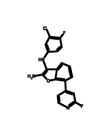 Nc1oc2c(-c3ccnc(F)c3)cccc2c1Nc1ccc(F)c(Cl)c1